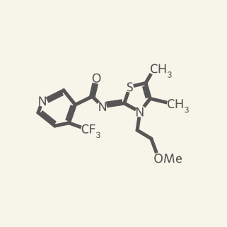 COCCn1c(C)c(C)sc1=NC(=O)c1cnccc1C(F)(F)F